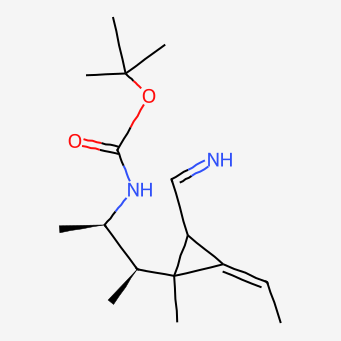 C/C=C1/C(C=N)C1(C)[C@@H](C)[C@@H](C)NC(=O)OC(C)(C)C